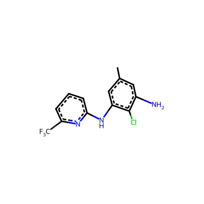 Cc1cc(N)c(Cl)c(Nc2cccc(C(F)(F)F)n2)c1